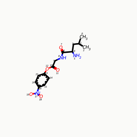 CC(C)CC(N)C(=O)NCC(=O)Oc1ccc([N+](=O)[O-])cc1